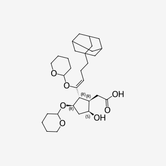 O=C(O)C[C@@H]1[C@@H](C(=CCCC23CC4CC(CC(C4)C2)C3)OC2CCCCO2)[C@H](OC2CCCCO2)C[C@@H]1O